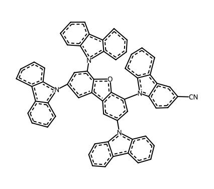 N#Cc1ccc2c(c1)c1ccccc1n2-c1cc(-n2c3ccccc3c3ccccc32)cc2c1oc1c(-n3c4ccccc4c4ccccc43)cc(-n3c4ccccc4c4ccccc43)cc12